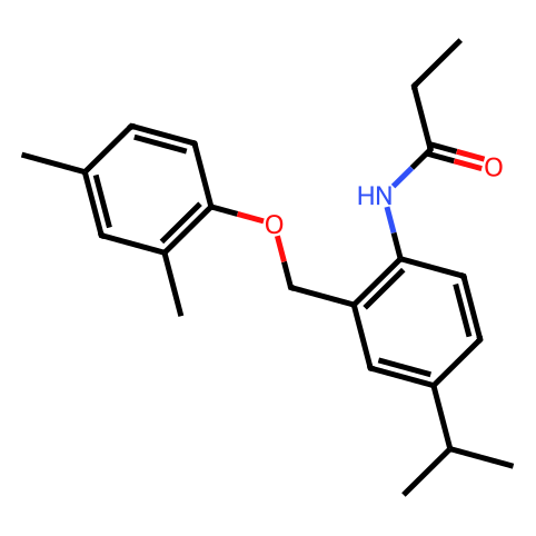 CCC(=O)Nc1ccc(C(C)C)cc1COc1ccc(C)cc1C